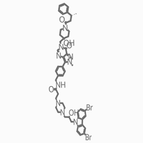 C[C@H](CC(=O)N1CCC(O)(Cn2cnc3c(-c4ccc(CNC(=O)CCN5CCN(C[C@@H](O)Cn6c7ccc(Br)cc7c7cc(Br)ccc76)CC5)cc4)n(C)nc3c2=O)CC1)c1ccccc1